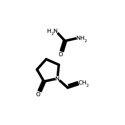 C=CN1CCCC1=O.NC(N)=O